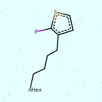 CCCCCCCCCCc1ccsc1[P]